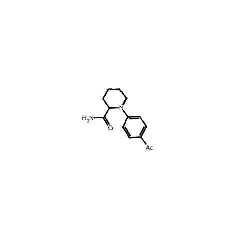 CC(=O)c1ccc(N2CC[CH]CC2C(N)=O)cc1